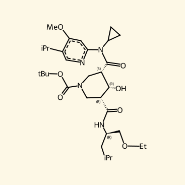 CCOC[C@@H](CC(C)C)NC(=O)[C@@H]1CN(C(=O)OC(C)(C)C)C[C@H](C(=O)N(c2cc(OC)c(C(C)C)cn2)C2CC2)[C@@H]1O